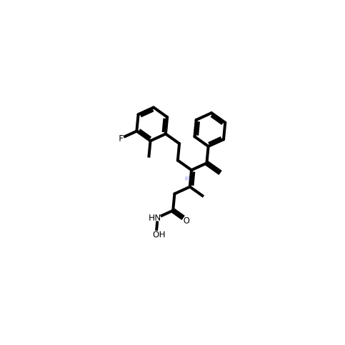 C=C(/C(CCc1cccc(F)c1C)=C(\C)CC(=O)NO)c1ccccc1